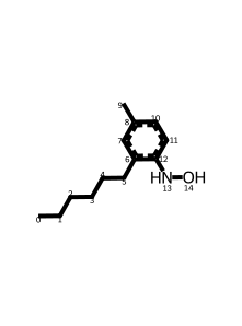 CCCCCCc1cc(C)ccc1NO